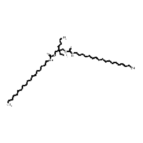 CCCCCCCCCCCCCCCCCCNC(=O)OCC(CC)(CCCC)COC(=O)NCCCCCCCCCCCCCCCCCC